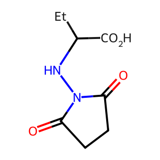 CCC(NN1C(=O)CCC1=O)C(=O)O